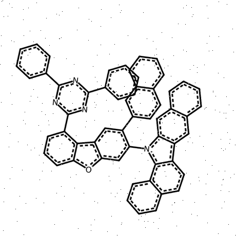 c1ccc(-c2nc(-c3ccccc3)nc(-c3cccc4oc5cc(-n6c7cc8ccccc8cc7c7ccc8ccccc8c76)c(-c6ccc7ccccc7c6)cc5c34)n2)cc1